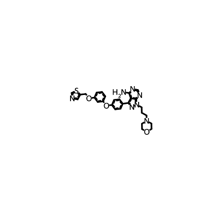 Nc1ncnc2c1c(-c1ccc(Oc3cccc(OCc4cncs4)c3)cc1)nn2CCCN1CCOCC1